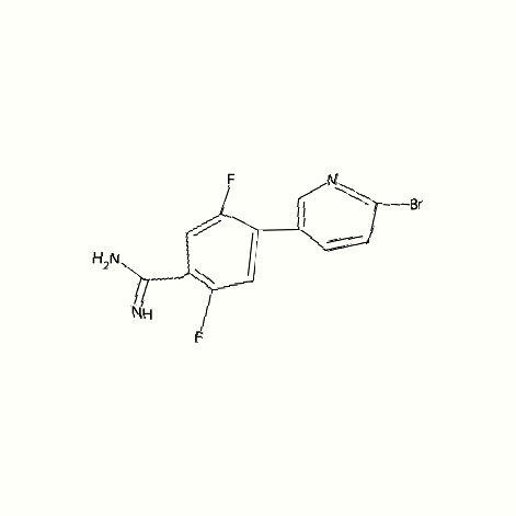 N=C(N)c1cc(F)c(-c2ccc(Br)nc2)cc1F